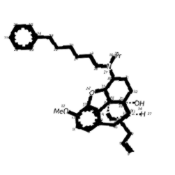 C=CCN1CC[C@]23c4c5ccc(OC)c4OC2C(N(CCCCCCc2ccccc2)C(C)C)CC[C@@]3(O)[C@H]1C5